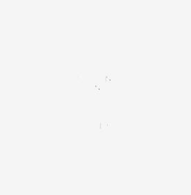 C[Si](C)(C)CCOCn1cc(C2CCCC2O)cn1